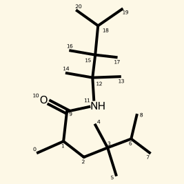 CC(CC(C)(C)C(C)C)C(=O)NC(C)(C)C(C)(C)C(C)C